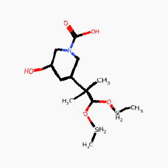 C[SiH2]OC(O[SiH2]C)C(C)(C)C1CC(O)CN(C(=O)O)C1